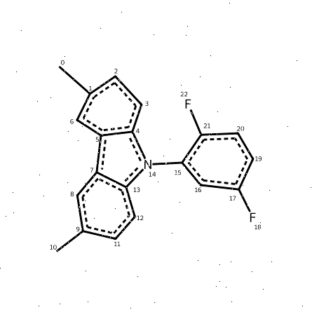 Cc1ccc2c(c1)c1cc(C)ccc1n2-c1cc(F)ccc1F